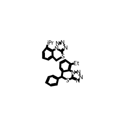 CC(C)c1cccc2c1-n1nnnc1SC2.CCc1cccc2c1-n1nnnc1SC2c1ccccc1